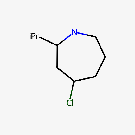 CC(C)C1CC(Cl)CCC[N]1